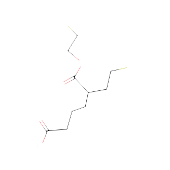 O=C(O)CCCC(CCS)C(=O)OCCS